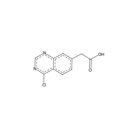 O=C(O)Cc1ccc2c(Cl)ncnc2c1